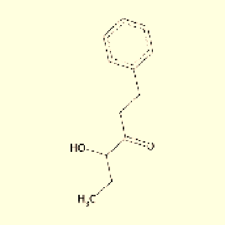 CCC(O)C(=O)CCc1ccccc1